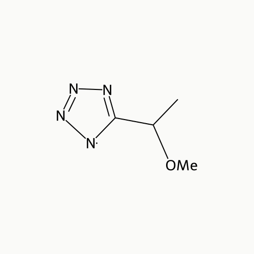 COC(C)C1=NN=N[N]1